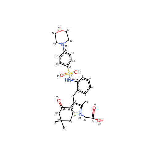 Cc1c(Cc2ccccc2NS(=O)(=O)c2ccc(N3CCOCC3)cc2)c2c(n1CC(=O)O)CC(C)(C)CC2=O